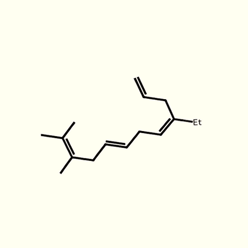 C=CCC(=CCC=CCC(C)=C(C)C)CC